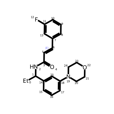 CCC(NC(=O)/C=C/c1cccc(F)c1)c1cccc(N2CCOCC2)c1